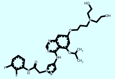 CC(C)Oc1cc(OCCCN(CCO)CCO)cc2ncnc(Nc3cnn(CC(=O)Nc4cccc(F)c4F)c3)c12